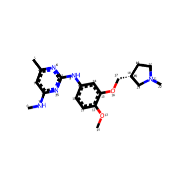 CNc1cc(C)nc(Nc2ccc(OC)c(OC[C@@H]3CCN(C)C3)c2)n1